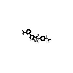 CC(=O)Nc1ccc(NC(=O)c2cc(-c3cccc(C(C)=O)c3)cnc2N)cc1